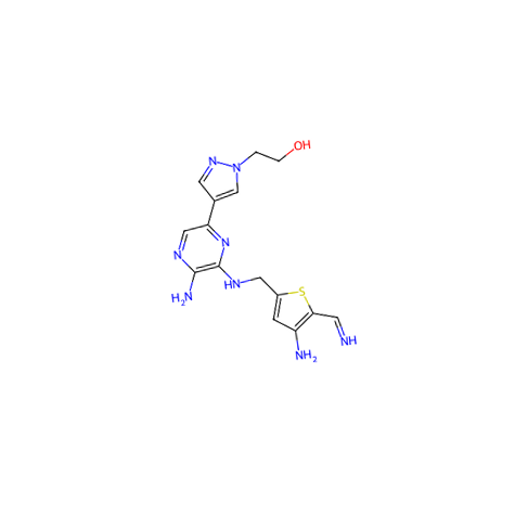 N=Cc1sc(CNc2nc(-c3cnn(CCO)c3)cnc2N)cc1N